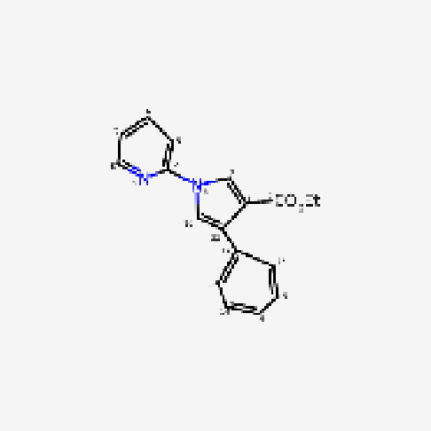 CCOC(=O)c1cn(-c2ccccn2)cc1-c1ccccc1